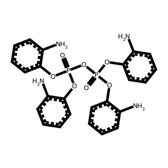 Nc1ccccc1OP(=O)(Oc1ccccc1N)OP(=O)(Oc1ccccc1N)Oc1ccccc1N